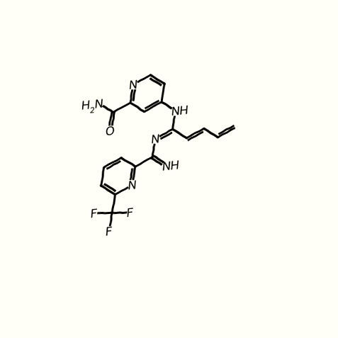 C=C/C=C/C(=N\C(=N)c1cccc(C(F)(F)F)n1)Nc1ccnc(C(N)=O)c1